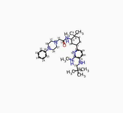 CNc1nc(C2CCC(C)(C)C(NC(=O)CN3CCN(c4ccccc4)CC3)C2)ccc1NCC(C)(C)C